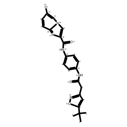 CC(C)(C)c1cc(CC(=O)Nc2ccc(NC(=O)c3cn4cc(Cl)ccc4n3)cc2)no1